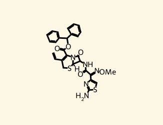 C=CC1=C(C(=O)OC(c2ccccc2)c2ccccc2)N2C(=O)C(NC(=O)C(=NOC)c3csc(N)n3)[C@@H]2SC1